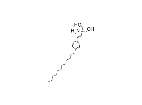 CCCCCCCCCCCCc1ccc(C=CC(N)(CO)CO)cc1